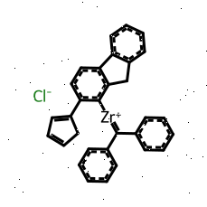 C1=CCC(c2ccc3c([c]2[Zr+]=[C](c2ccccc2)c2ccccc2)Cc2ccccc2-3)=C1.[Cl-]